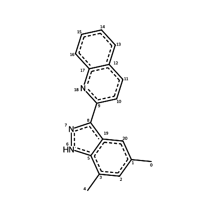 Cc1cc(C)c2[nH]nc(-c3ccc4ccccc4n3)c2c1